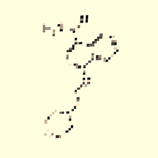 NC(=O)c1ccc(OCCN2CCOCC2)c2ccccc12